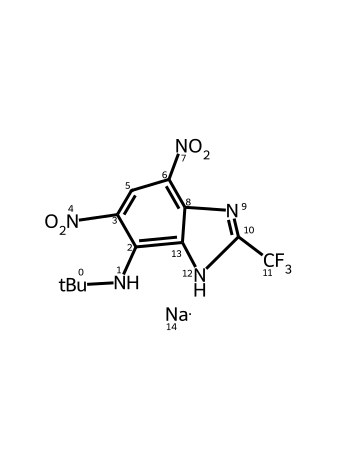 CC(C)(C)Nc1c([N+](=O)[O-])cc([N+](=O)[O-])c2nc(C(F)(F)F)[nH]c12.[Na]